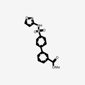 COC(=O)c1cccc(-c2ccc(S(=O)(=O)Nc3ccon3)cc2)c1